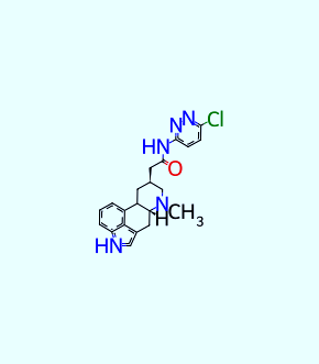 CN1C[C@H](CC(=O)Nc2ccc(Cl)nn2)CC2c3cccc4[nH]cc(c34)C[C@H]21